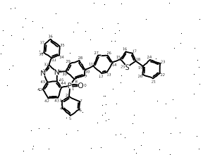 O=P1(c2ccccc2)c2cc(-c3ccc(-c4ccc(-c5ccccc5)s4)cc3)ccc2-n2c(-c3ccccc3)nc3cccc1c32